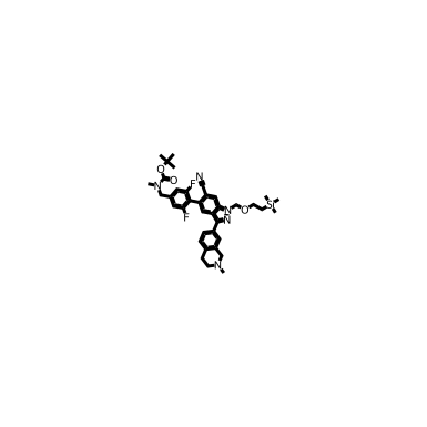 CN1CCc2ccc(-c3nn(COCC[Si](C)(C)C)c4cc(C#N)c(-c5c(F)cc(CN(C)C(=O)OC(C)(C)C)cc5F)cc34)cc2C1